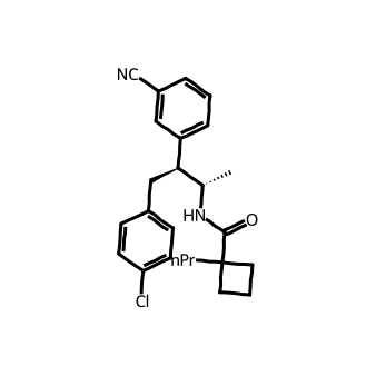 CCCC1(C(=O)N[C@@H](C)[C@@H](Cc2ccc(Cl)cc2)c2cccc(C#N)c2)CCC1